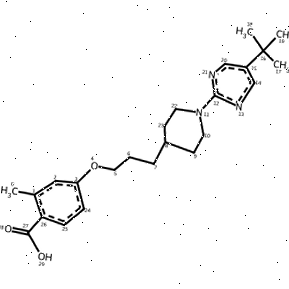 Cc1cc(OCCCC2CCN(c3ncc(C(C)(C)C)cn3)CC2)ccc1C(=O)O